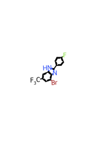 Fc1ccc(-c2nc3c(Br)cc(C(F)(F)F)cc3[nH]2)cc1